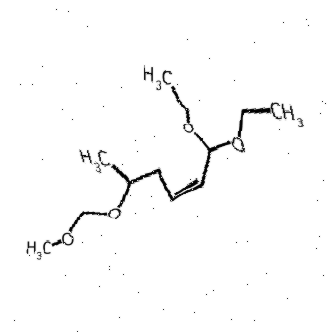 CCOC(/C=C\CC(C)OCOC)OCC